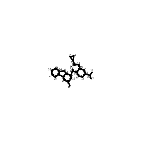 Cc1cc2c(c(-c3nc(C4CC4)cc4cc(C(C)C)ccc34)c1)Cc1ccccc1-2